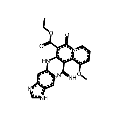 CCOC(=O)c1c(Nc2ccc3[nH]cnc3c2)c(C(=N)N)c2c(OC)cccn2c1=O